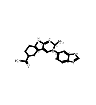 NC(=O)C1CCc2[nH]c3c(c2C1)=CN(c1ccc2ncsc2c1)C(N)N=3